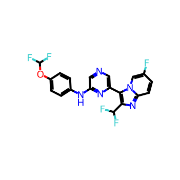 Fc1ccc2nc(C(F)F)c(-c3cncc(Nc4ccc(OC(F)F)cc4)n3)n2c1